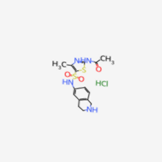 CC(=O)Nc1nc(C)c(S(=O)(=O)Nc2ccc3c(c2)CCNC3)s1.Cl